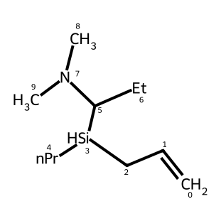 C=CC[SiH](CCC)C(CC)N(C)C